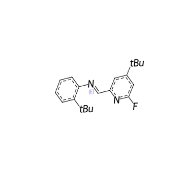 CC(C)(C)c1cc(F)nc(/C=N/c2ccccc2C(C)(C)C)c1